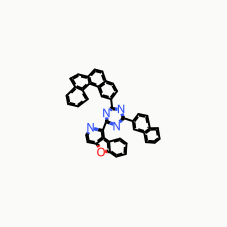 c1ccc2cc(-c3nc(-c4ccc5ccc6ccc7ccccc7c6c5c4)nc(-c4nccc5oc6ccccc6c45)n3)ccc2c1